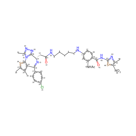 CC(=O)Nc1cc(NCCCCCNC(=O)C[C@@H]2N=C(c3ccc(Cl)cc3)c3c(sc(C)c3C)-n3c(C)nnc32)ccc1C(=O)Nc1nc(C)c([N+](=O)[O-])s1